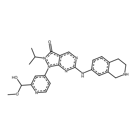 COC(O)c1cc(-n2c3nc(Nc4ccc5c(c4)CNCC5)ncc3c(=O)n2C(C)C)ccn1